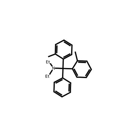 CCN(CC)C(c1ccccc1)(c1ccccc1C)c1ccccc1C